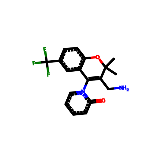 CC1(C)Oc2ccc(C(F)(F)F)cc2C(n2ccccc2=O)=C1CN